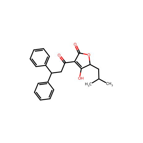 CC(C)CC1OC(=O)C(C(=O)CC(c2ccccc2)c2ccccc2)=C1O